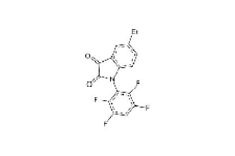 CCc1ccc2c(c1)C(=O)C(=O)N2c1c(F)c(F)cc(F)c1F